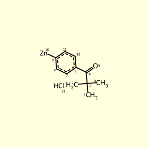 CC(C)(C)C(=O)c1cc[c]([Zn])cc1.Cl